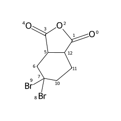 O=C1OC(=O)C2CC(Br)(Br)CCC12